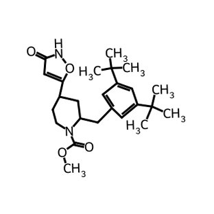 COC(=O)N1CCC(c2cc(=O)[nH]o2)CC1Cc1cc(C(C)(C)C)cc(C(C)(C)C)c1